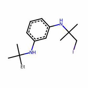 CCC(C)(C)Nc1cccc(NC(C)(C)CI)c1